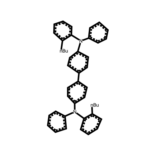 CCCCc1ccccc1N(c1ccccc1)c1ccc(-c2ccc(N(c3ccccc3)c3ccccc3CCCC)cc2)cc1